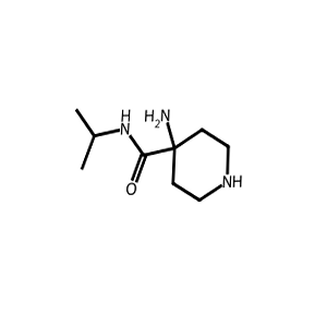 CC(C)NC(=O)C1(N)CCNCC1